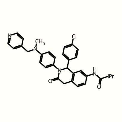 CC(C)C(=O)Nc1ccc2c(c1)C(c1ccc(Cl)cc1)N(c1ccc(N(C)Cc3ccncc3)cc1)C(=O)C2